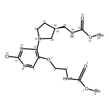 CC(C)(C)OC(=O)NCCOc1cnc(Cl)nc1N1CC[C@@H](CNC(=O)OC(C)(C)C)C1